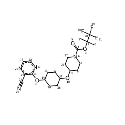 CC(C)(OC(=O)N1CCC(OC2CCC(Oc3nccnc3C#N)CC2)CC1)C(F)(F)F